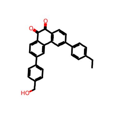 CCc1ccc(-c2ccc3c(c2)-c2cc(-c4ccc(CO)cc4)ccc2C(=O)C3=O)cc1